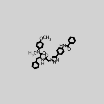 COc1ccc(N(C)C(=O)C(Cc2ccccc2)NC(=O)Cn2cc(-c3ccc(NC(=O)c4ccccc4)cc3)nn2)cc1